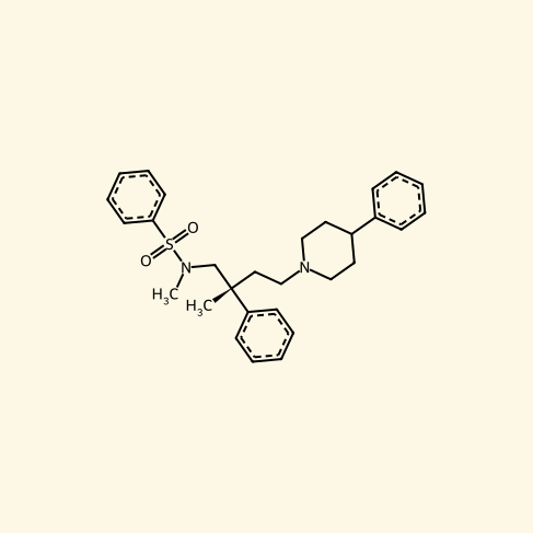 CN(C[C@](C)(CCN1CCC(c2ccccc2)CC1)c1ccccc1)S(=O)(=O)c1ccccc1